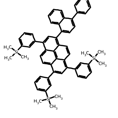 C[Si](C)(C)c1cccc(-c2cc(-c3cccc([Si](C)(C)C)c3)c3ccc4c(-c5ccc(-c6ccccc6)c6ccccc56)cc(-c5cccc([Si](C)(C)C)c5)c5ccc2c3c54)c1